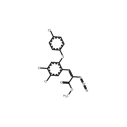 COC(=O)/C(=C\c1cc(Cl)c(Cl)cc1Sc1ccc(Cl)cc1)N=[N+]=[N-]